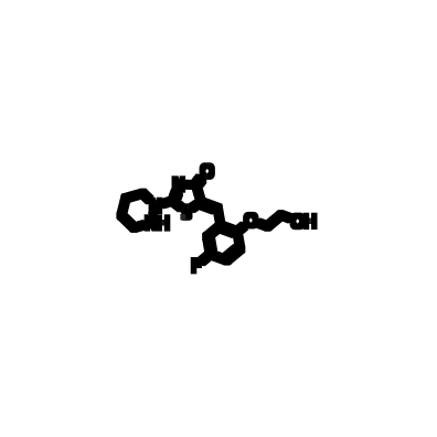 O=C1N=C(N2CCCCN2)S/C1=C\c1cc(F)ccc1OCCO